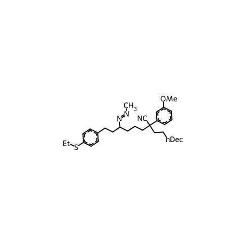 CCCCCCCCCCCCC(C#N)(CCCC(CCc1ccc(SCC)cc1)N=NC)c1cccc(OC)c1